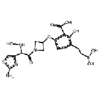 Nc1nc(C(NO)C(=O)N2CC(Oc3ccc(CCB(O)O)c(O)c3C(=O)O)C2)cs1